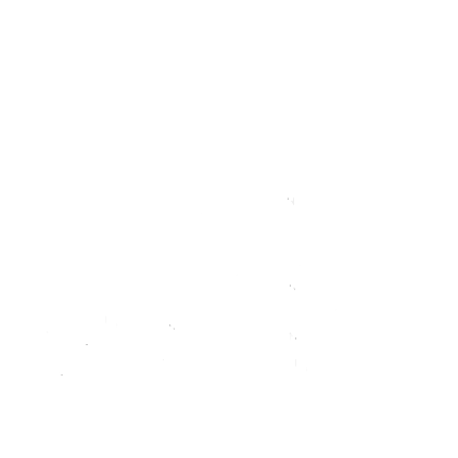 Cn1c(=O)n(-c2ccc(OCc3ccccc3)nc2OCc2ccccc2)c2ccc(N3CC(O[Si](C)(C)C(C)(C)C)C3)cc21